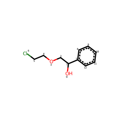 OC(COCCCl)c1ccccc1